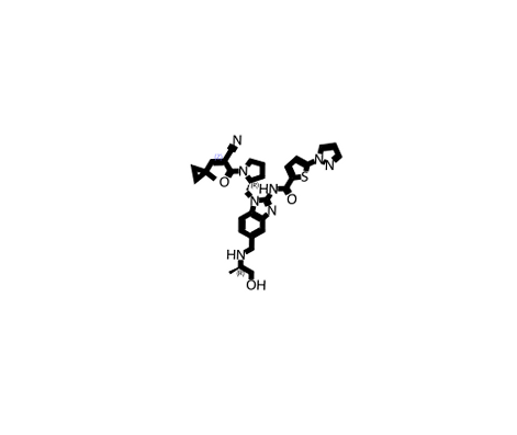 C[C@H](CO)NCc1ccc2c(c1)nc(NC(=O)c1ccc(-n3cccn3)s1)n2C[C@H]1CCCN1C(=O)/C(C#N)=C\C1(C)CC1